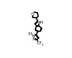 CCn1nc(C(F)(F)F)cc1-c1ccc2[nH]c(C3CCCOC3)cc2c1